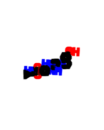 O=S(=O)(NCC1CC1)c1ccc(NC2N=C(N3CCCc4cc(O)ccc43)C=CN2)cc1